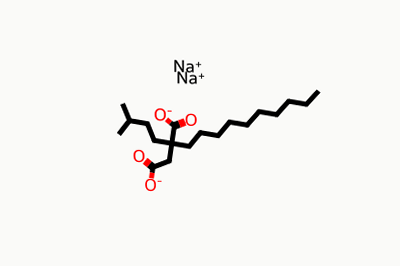 CCCCCCCCCCC(CCC(C)C)(CC(=O)[O-])C(=O)[O-].[Na+].[Na+]